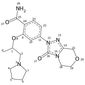 CC(CN1CCCC1)Oc1cc(-n2nc3n(c2=O)CCOC3)ccc1C(N)=O